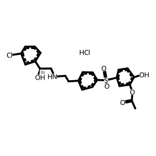 CC(=O)Oc1cc(S(=O)(=O)c2ccc(CCNC[C@@H](O)c3cccc(Cl)c3)cc2)ccc1O.Cl